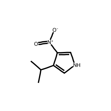 CC(C)c1c[nH]cc1[N+](=O)[O-]